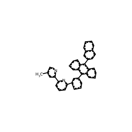 Cc1ccnc(-c2cccc(-c3cccc(-c4c5ccccc5c(-c5ccc6ccccc6c5)c5ccccc45)c3)n2)c1